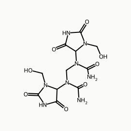 NC(=O)N(CN(C(N)=O)C1C(=O)NC(=O)N1CO)C1C(=O)NC(=O)N1CO